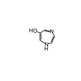 OC1=CNC=CN=C1